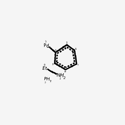 CCN.P.[Pd][c]1ccccc1